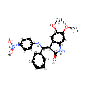 COc1cc2c(cc1OC)C(=C(Nc1ccc([N+](=O)[O-])cc1)c1ccccc1)C(=O)N2